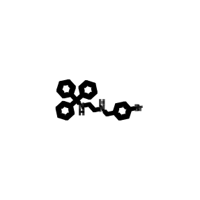 Brc1ccc(CNCCNC(c2ccccc2)(c2ccccc2)c2ccccc2)cc1